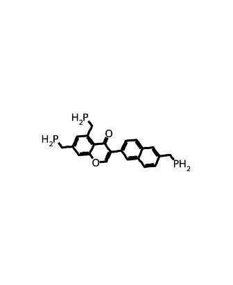 O=c1c(-c2ccc3cc(CP)ccc3c2)coc2cc(CP)cc(CP)c12